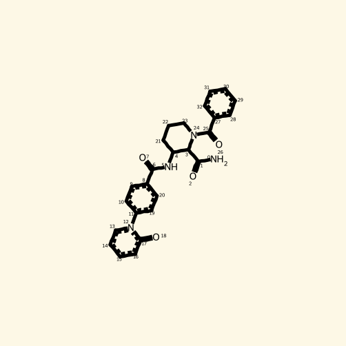 NC(=O)C1C(NC(=O)c2ccc(-n3ccccc3=O)cc2)[CH]CCN1C(=O)c1ccccc1